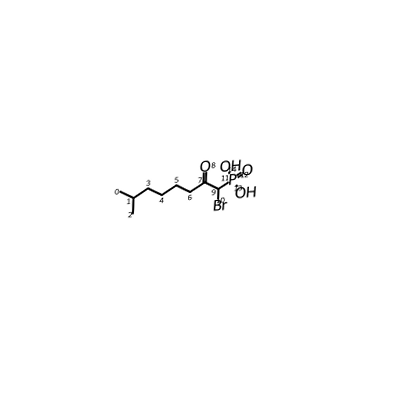 CC(C)CCCCC(=O)C(Br)P(=O)(O)O